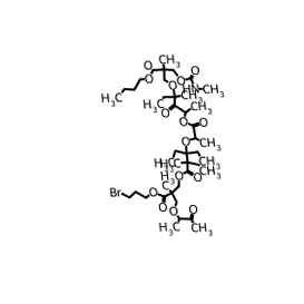 CCCCOC(=O)C(C)(COC(=O)NC)COC(C)(CC)C(=O)C(C)OC(=O)C(C)OC(CC)(CC)C(C)(CC)C(=O)OCC(C)(COC(C)C(C)=O)C(=O)OCCCBr